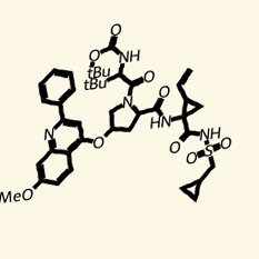 C=CC1CC1(NC(=O)C1CC(Oc2cc(-c3ccccc3)nc3cc(OC)ccc23)CN1C(=O)C(NC(=O)OC(C)(C)C)C(C)(C)C)C(=O)NS(=O)(=O)CC1CC1